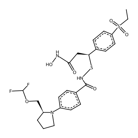 CCS(=O)(=O)c1ccc([C@H](CC(=O)NO)SNC(=O)c2ccc(N3CCC[C@H]3COC(F)F)cc2)cc1